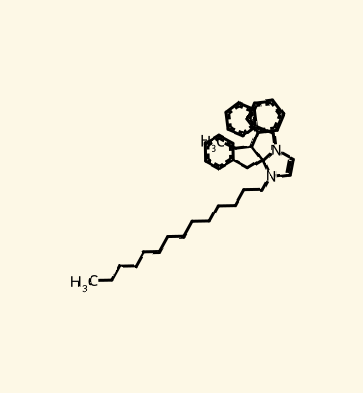 CCCCCCCCCCCCCCN1C=CN(Cc2ccccc2)C1(Cc1ccccc1)C(CC)c1ccccc1